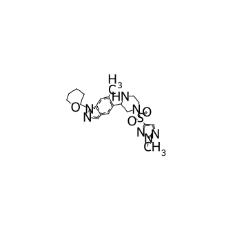 Cc1cc2c(cnn2C2CCCCO2)cc1C1CN(S(=O)(=O)c2cnn(C)n2)CCN1